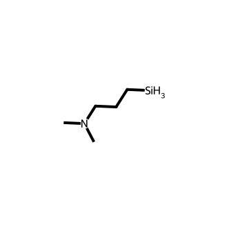 CN(C)CCC[SiH3]